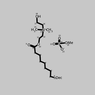 CCCCCCCCCCCCCCCCCC(=O)OCC[N+](C)(C)CCO.COS(=O)(=O)[O-]